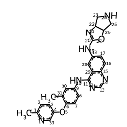 Cc1ccc(Oc2ccc(Nc3ncnc4ccc(NC5=NC6CNCC6O5)cc34)cc2C)cn1